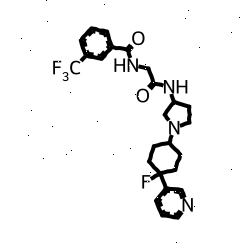 O=C(CNC(=O)c1cccc(C(F)(F)F)c1)NC1CCN(C2CCC(F)(c3cccnc3)CC2)C1